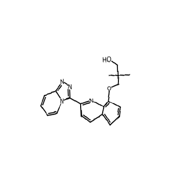 CC(C)(CO)COc1cccc2ccc(-c3nnc4ccccn34)nc12